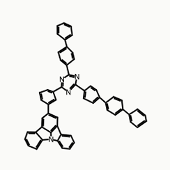 c1ccc(-c2ccc(-c3ccc(-c4nc(-c5ccc(-c6ccccc6)cc5)nc(-c5cccc(-c6cc7c8ccccc8n8c9ccccc9c(c6)c78)c5)n4)cc3)cc2)cc1